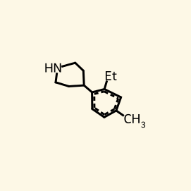 CCc1cc(C)ccc1C1CCNCC1